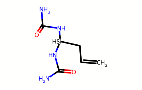 C=CC[SiH](NC(N)=O)NC(N)=O